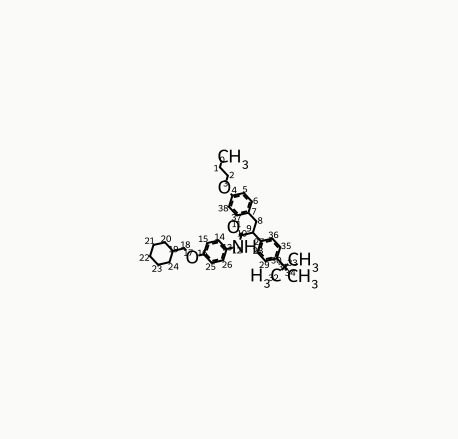 CCCOc1ccc(CC(C(=O)Nc2ccc(OCC3CCCCC3)cc2)c2ccc(C(C)(C)C)cc2)cc1